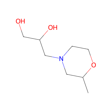 CC1CN(CC(O)CO)CCO1